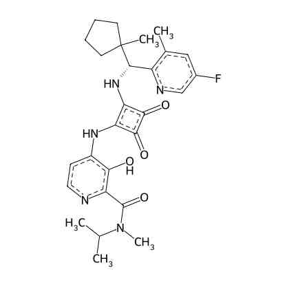 Cc1cc(F)cnc1[C@H](Nc1c(Nc2ccnc(C(=O)N(C)C(C)C)c2O)c(=O)c1=O)C1(C)CCCC1